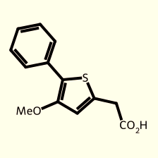 COc1cc(CC(=O)O)sc1-c1ccccc1